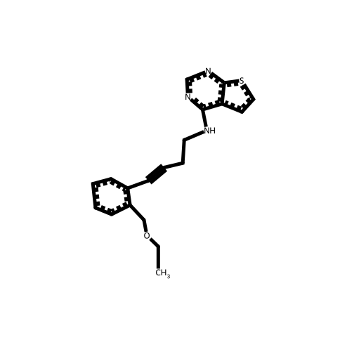 CCOCc1ccccc1C#CCCNc1ncnc2sccc12